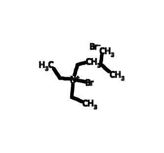 CCC.CC[N+](Br)(CC)CC.[Br-]